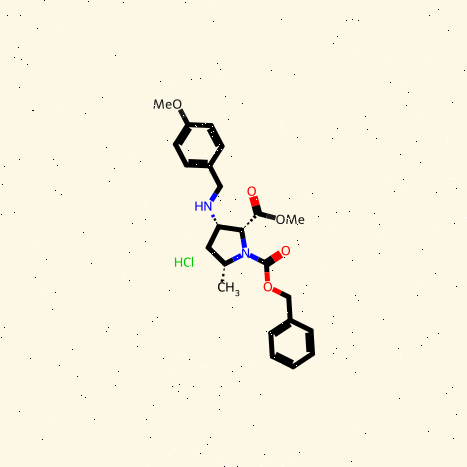 COC(=O)[C@H]1[C@@H](NCc2ccc(OC)cc2)C[C@@H](C)N1C(=O)OCc1ccccc1.Cl